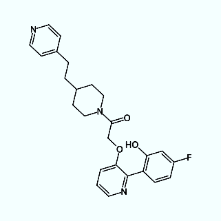 O=C(COc1cccnc1-c1ccc(F)cc1O)N1CCC(CCc2ccncc2)CC1